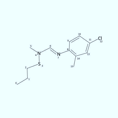 CCCSN(C)C=Nc1ccc(Cl)cc1C